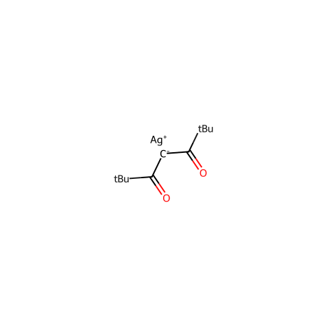 CC(C)(C)C(=O)[CH-]C(=O)C(C)(C)C.[Ag+]